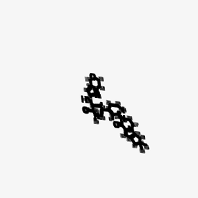 Cc1c(-c2cc(Nc3cc4n(n3)CCOC4)c(=O)n(C)c2)ccnc1N1CCn2c(cc3c2CC(C)(C)C3)C1=O